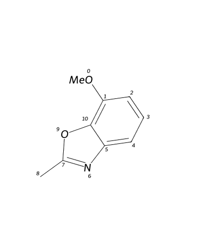 COc1cccc2nc(C)oc12